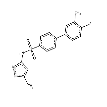 Cc1cc(NS(=O)(=O)c2ccc(-c3ccc(F)c(C)c3)cc2)no1